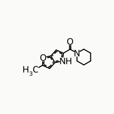 Cc1cc2[nH]c(C(=O)N3CCCCC3)cc2o1